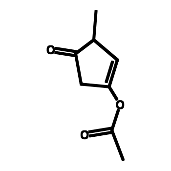 CC(=O)OC1=CC(C)C(=O)C1